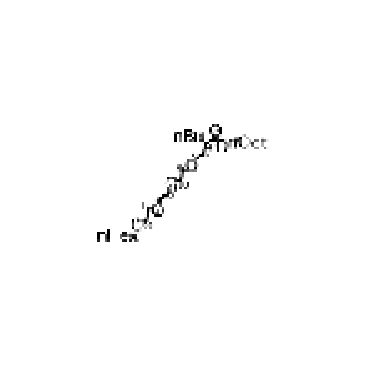 CCCCCCCCOC(=O)C(CCCC)CCOCCOCCOCCOCCCCCC